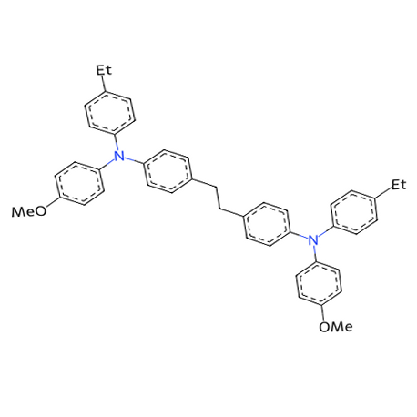 CCc1ccc(N(c2ccc(CCc3ccc(N(c4ccc(CC)cc4)c4ccc(OC)cc4)cc3)cc2)c2ccc(OC)cc2)cc1